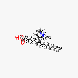 C=CCN1C(C)(C)CC(C)CC1(C)C.CCCCCCCCCCCCCCCCCC(=O)O